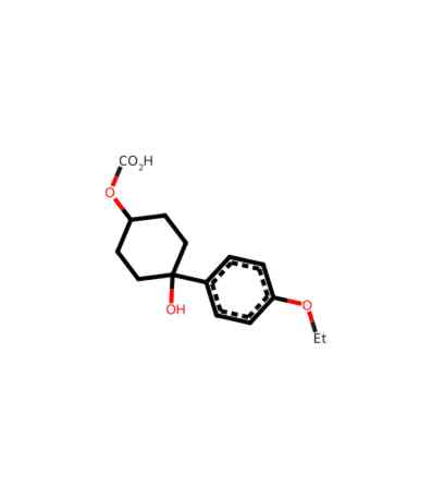 CCOc1ccc(C2(O)CCC(OC(=O)O)CC2)cc1